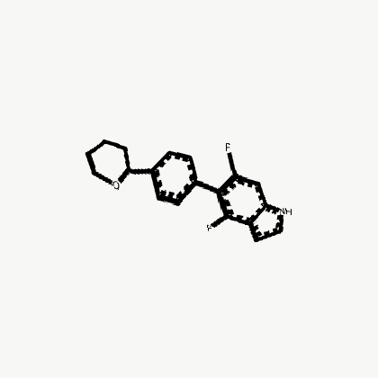 Fc1cc2[nH]ccc2c(F)c1-c1ccc(C2CCCCO2)cc1